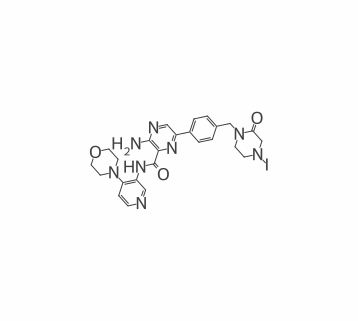 Nc1ncc(-c2ccc(CN3CCN(I)CC3=O)cc2)nc1C(=O)Nc1cnccc1N1CCOCC1